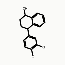 OC1CCC(c2ccc(Cl)c(Cl)c2)c2ccccc21